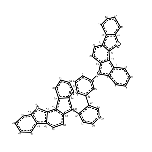 FC(F)(F)c1ccc(-n2c3ccccc3c3c4oc5ccccc5c4ccc32)cc1-c1cnccc1-n1c2ccccc2c2c3oc4ccccc4c3ccc21